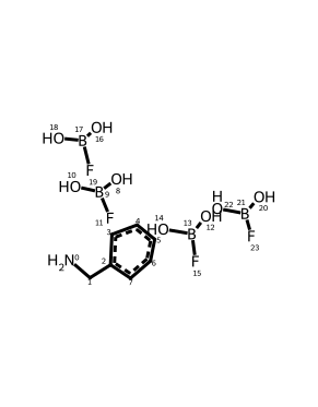 NCc1ccccc1.OB(O)F.OB(O)F.OB(O)F.OB(O)F